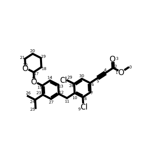 COC(=O)C#Cc1cc(Cl)c(Cc2ccc(OC3CCCCO3)c(C(C)C)c2)c(Cl)c1